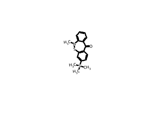 CN1Sc2cc([Si](C)(C)C)ccc2C(=O)c2ccccc21